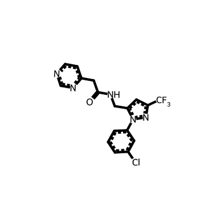 O=C(Cc1ccncn1)NCc1cc(C(F)(F)F)nn1-c1cccc(Cl)c1